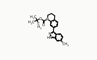 Cc1ccc2c(-c3ccc4c(c3)N(C(=O)OC(C)(C)C)CCC4)n[nH]c2c1